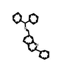 C(=N\C(c1ccccc1)c1ccccc1)/c1ccc2ccc(-c3ccccc3)nc2c1